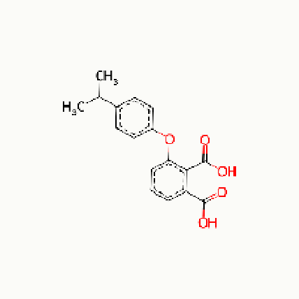 CC(C)c1ccc(Oc2cccc(C(=O)O)c2C(=O)O)cc1